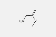 C=C(CN)OF